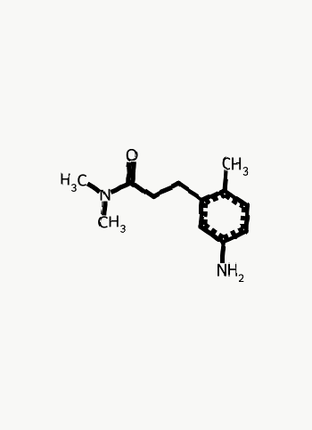 Cc1ccc(N)cc1CCC(=O)N(C)C